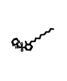 CCCCCCCCCCc1cccc(S(=O)(=O)Nc2ncccn2)c1C